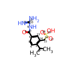 CC(C)c1ccc(C(=O)NC(=N)N)cc1CS(=O)(=O)O